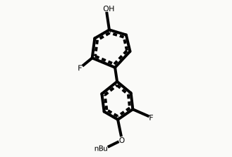 CCCCOc1ccc(-c2ccc(O)cc2F)cc1F